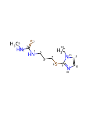 CNC(=S)NCCCSc1nccn1C